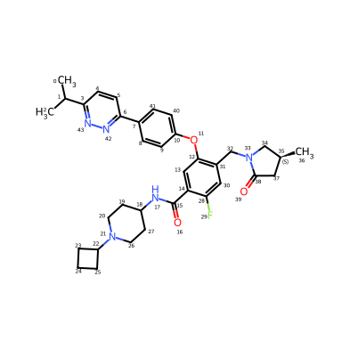 CC(C)c1ccc(-c2ccc(Oc3cc(C(=O)NC4CCN(C5CCC5)CC4)c(F)cc3CN3C[C@@H](C)CC3=O)cc2)nn1